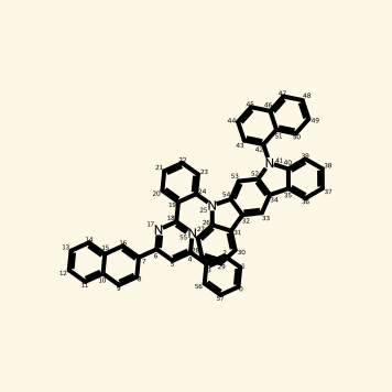 c1ccc(-c2cc(-c3ccc4ccccc4c3)nc(-c3ccccc3-n3c4ccccc4c4cc5c6ccccc6n(-c6cccc7ccccc67)c5cc43)n2)cc1